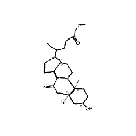 COC(=O)CCC(C)C1CCC2C3C(=O)C[C@@H]4C[C@H](O)CC[C@]4(C)C3CC[C@]12C